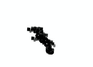 CC(=O)O[C@@H]([C@H]1C[C@@H](C)[C@H]2[C@H](O1)[C@H](O)[C@@]1(C)[C@@H]3CC[C@H]4C(C)(C)[C@@H](O[C@@H]5OCCN6CCO[C@@H]5C6)CC[C@@]45C[C@@]35CC[C@]21C)C(C)(C)O